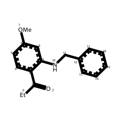 CCC(=O)c1ccc(OC)cc1NCc1ccccc1